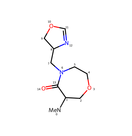 CNC1COCCN(CC2COC=N2)C1=O